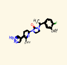 COc1cc(C(C)N2CCN(c3ccc(-c4cn[nH]c4)c(OC)n3)C2=O)ccc1F